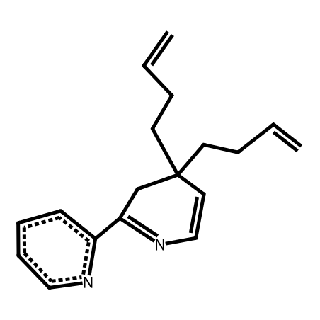 C=CCCC1(CCC=C)C=CN=C(c2ccccn2)C1